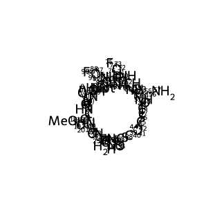 CCCCCCCO[C@H]1C[C@H]2C(=O)NCC(=O)N[C@@H](Cc3ccc(OC)cc3)C(=O)N3CCC[C@@]3(C)C(=O)N[C@H](C(N)=O)CSCc3cccc(c3)CSCCC(=O)N[C@@H](CCCCN)C(=O)N[C@H](C)C(=O)N[C@@H](Cc3c[nH]c4ccc(F)cc34)C(=O)N[C@@H](Cc3c[nH]c4ccc(F)cc34)C(=O)N2C1